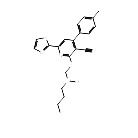 [CH2]c1ccc(-c2cc(-c3nccs3)nc(SC[S+]([O-])CCCC)c2C#N)cc1